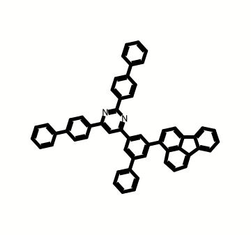 c1ccc(-c2ccc(-c3cc(-c4cc(-c5ccccc5)cc(-c5ccc6c7c(cccc57)-c5ccccc5-6)c4)nc(-c4ccc(-c5ccccc5)cc4)n3)cc2)cc1